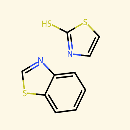 Sc1nccs1.c1ccc2scnc2c1